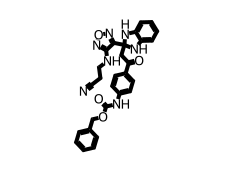 N#CCCNc1nonc1C1(CC(=O)c2ccc(NC(=O)OCc3ccccc3)cc2)Nc2ccccc2N1